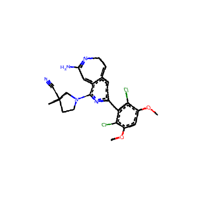 COc1cc(OC)c(Cl)c(-c2cc3c(c(N4CCC(C)(C#N)C4)n2)=CC(N)=NCC=3)c1Cl